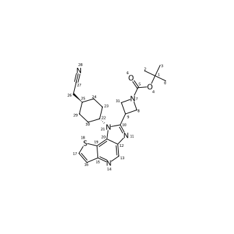 CC(C)(C)OC(=O)N1CC(c2nc3cnc4ccsc4c3n2[C@H]2CC[C@H](CC#N)CC2)C1